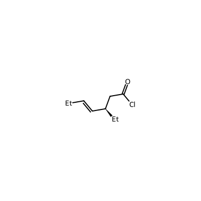 CCC=C[C@H](CC)CC(=O)Cl